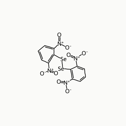 O=[N+]([O-])c1cccc([N+](=O)[O-])c1[Se][Se]c1c([N+](=O)[O-])cccc1[N+](=O)[O-]